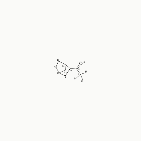 CC(C)(C)C(=O)C1CC2CCC1C2